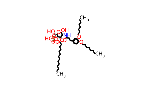 CCCCCCCCCCCCCC(=O)O[C@H]1[C@H](OS(=O)(=O)O)[C@@H](CO)OC(O)[C@@H]1NC(=O)CCc1ccc(OCCCCCCCC)c(OCCCCCCCC)c1